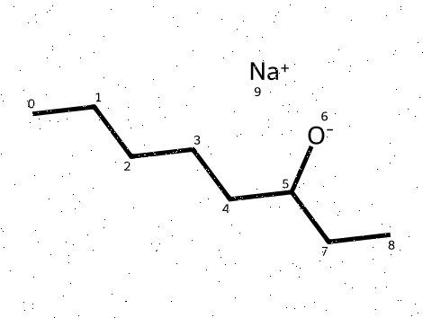 CCCCCC([O-])CC.[Na+]